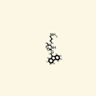 CC(=O)[C@H](CCCCN)NC(=O)OCC1c2ccccc2-c2ccccc21